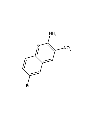 Nc1nc2ccc(Br)cc2cc1[N+](=O)[O-]